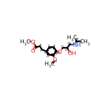 COC(=O)CCc1ccc(OCC(O)CNC(C)C)c(OC)c1